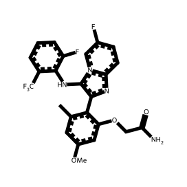 COc1cc(C)c(-c2nc3ccc(F)cn3c2Nc2c(F)cccc2C(F)(F)F)c(OCC(N)=O)c1